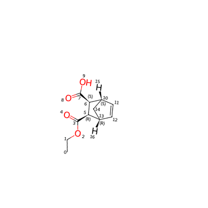 CCOC(=O)[C@H]1[C@@H](C(=O)O)[C@@H]2C=C[C@H]1C2